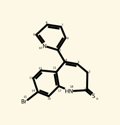 S=C1CC=C(c2ccccn2)c2ccc(Br)cc2N1